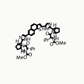 COC(=O)N[C@H](C(=O)N1C(c2ncc(-c3ccc4c(ccc5cc(-c6cnc(C7[C@H]8CC[C@H](C8)N7C(=O)[C@@H](NC(=O)OC)C(C)C)[nH]6)sc54)c3)[nH]2)[C@H]2CC[C@@H]1C2)C(C)C